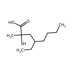 CCCCC(CC)CC(C)(S)C(=O)O